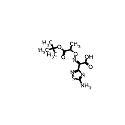 CC(ON=C(C(=O)O)c1nsc(N)n1)C(=O)OC(C)(C)C